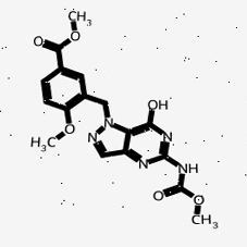 COC(=O)Nc1nc(O)c2c(cnn2Cc2cc(C(=O)OC)ccc2OC)n1